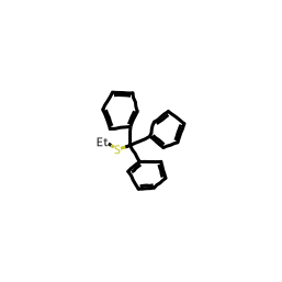 CCSC(c1ccccc1)(c1ccccc1)c1ccccc1